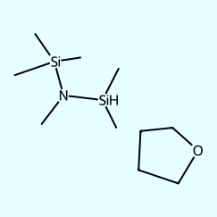 C1CCOC1.CN([SiH](C)C)[Si](C)(C)C